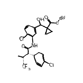 C[C@H]([C@H](C(=O)Nc1cc(C(O)C2(C(=O)OC(C)(C)C)CC2)ccc1Cl)C1C=CC(Cl)=CC1)C(F)(F)F